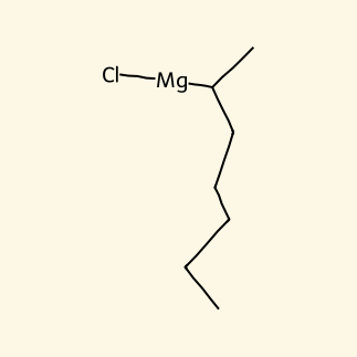 CCCCC[CH](C)[Mg][Cl]